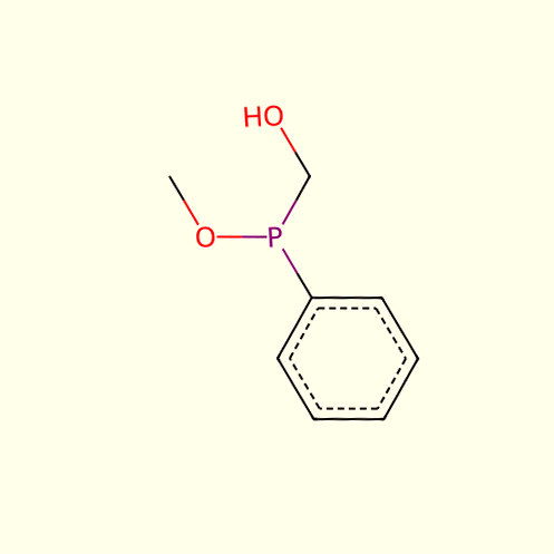 COP(CO)c1ccccc1